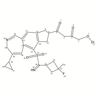 CCOCC(=O)CC(=O)C1Cc2cc3c(c(S(=O)(=O)C(=N)C4CC(C)(F)C4)c2C1)C=C(C1CC1)CN=C3